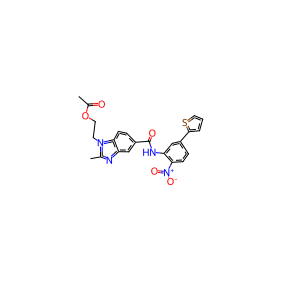 CC(=O)OCCn1c(C)nc2cc(C(=O)Nc3cc(-c4cccs4)ccc3[N+](=O)[O-])ccc21